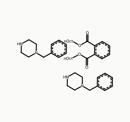 CCCCCCCCOC(=O)c1ccccc1C(=O)OCCCCCCCC.c1ccc(CN2CCNCC2)cc1.c1ccc(CN2CCNCC2)cc1